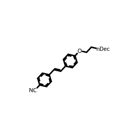 CCCCCCCCCCCCOc1ccc(/C=C/c2ccc(C#N)cc2)cc1